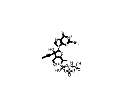 CC#CC1(O)C(CO)[C@@H]([C@@H](C)OP(=O)(O)OP(=O)(O)OP(=O)(O)O)O[C@H]1n1cnc2c(=S)[nH]c(N)nc21